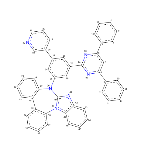 c1ccc(-c2cc(-c3ccccc3)nc(-c3cc(-c4cccnc4)cc(N4c5ccccc5-c5ccccc5-n5c4nc4ccccc45)c3)n2)cc1